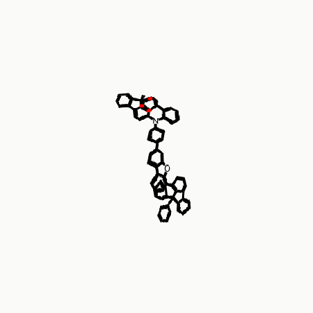 CC1(C)c2ccccc2-c2ccc(N(c3ccc(-c4ccc5c(c4)oc4c(-c6cccc7c6C(c6ccccc6)(c6ccccc6)c6ccccc6-7)cccc45)cc3)c3ccccc3-c3ccccc3)cc21